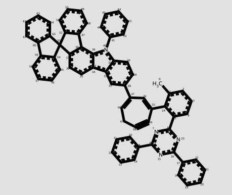 Cc1cccc(-c2nc(-c3ccccc3)nc(-c3ccccc3)n2)c1C1=CC(c2ccc3c(c2)c2ccc4c(c2n3-c2ccccc2)-c2ccccc2C42c3ccccc3-c3ccccc32)=CCC#C1